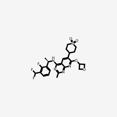 Cc1nc(N[C@H](C)c2cccc(C(F)F)c2F)c2cc(C3CCS(=O)(=O)CC3)c(OC3COC3)nc2n1